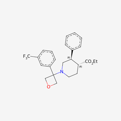 CCOC(=O)[C@@H]1CCN(C2(c3cccc(C(F)(F)F)c3)COC2)C[C@H]1c1ccccc1